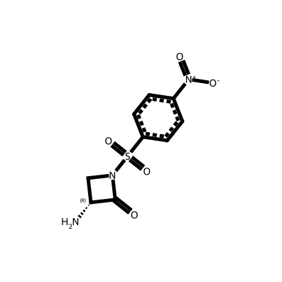 N[C@@H]1CN(S(=O)(=O)c2ccc([N+](=O)[O-])cc2)C1=O